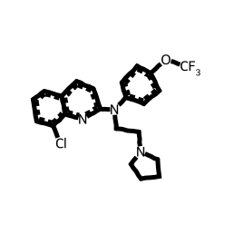 FC(F)(F)Oc1ccc(N(CCN2CCCC2)c2ccc3cccc(Cl)c3n2)cc1